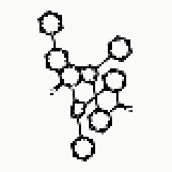 O=C1c2ccccc2C2(c3ccccc31)c1cc(-c3ccccc3)ccc1-n1c(=O)c3ccc(-c4ccccc4)cc3c3cc(-c4ccccc4)cc2c31